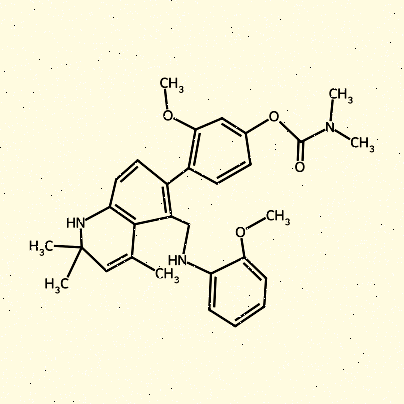 COc1ccccc1NCc1c(-c2ccc(OC(=O)N(C)C)cc2OC)ccc2c1C(C)=CC(C)(C)N2